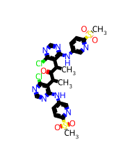 CC(C(=O)C(C)c1c(Cl)ncnc1Nc1ccc(S(C)(=O)=O)nc1)c1c(Cl)ncnc1Nc1ccc(S(C)(=O)=O)nc1